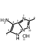 Cc1nc2c(N)c(C)[nH]n2n1.Cl